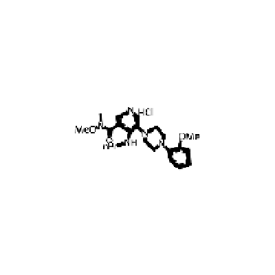 CCCNc1c(C(=O)N(C)OC)cncc1N1CCN(c2ccccc2OC)CC1.Cl